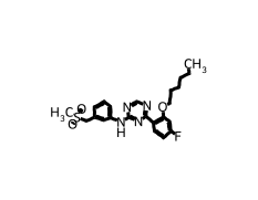 CCCCCCOc1cc(F)ccc1-c1ncnc(Nc2cccc(CS(C)(=O)=O)c2)n1